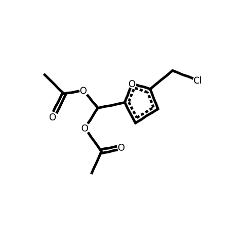 CC(=O)OC(OC(C)=O)c1ccc(CCl)o1